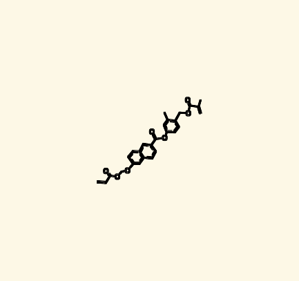 C=CC(=O)OCOc1ccc2cc(C(=O)Oc3ccc(COC(=O)C(=C)C)c(C)c3)ccc2c1